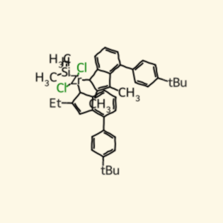 CCC1=Cc2c(-c3ccc(C(C)(C)C)cc3)cccc2[CH]1[Zr]([Cl])([Cl])([CH]1C(C)=C(C)c2c(-c3ccc(C(C)(C)C)cc3)cccc21)[SiH](C)C